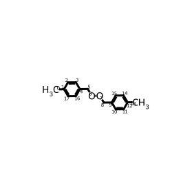 Cc1ccc(COOCc2ccc(C)cc2)cc1